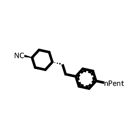 CCCCCc1ccc(CC[C@H]2CC[C@H](C#N)CC2)cc1